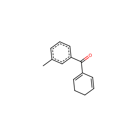 Cc1cccc(C(=O)C2=CCCC=C2)c1